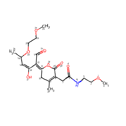 COCCNC(=O)CC1=C(C)C/C(=C(C=O)\C(O)=C/C(C)OCCOC)OC1=O